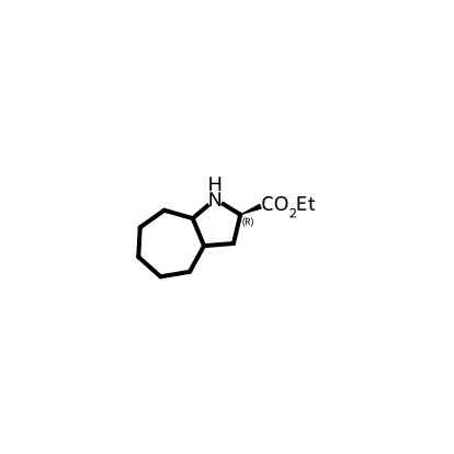 CCOC(=O)[C@H]1CC2CCCCCC2N1